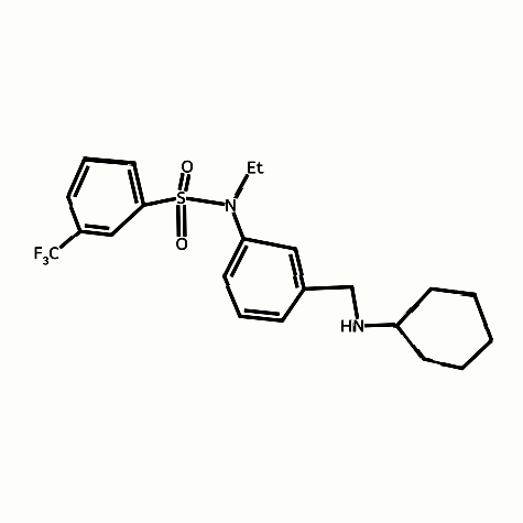 CCN(c1cccc(CNC2CCCCC2)c1)S(=O)(=O)c1cccc(C(F)(F)F)c1